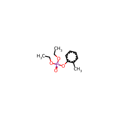 CCOP(=O)(OCC)Oc1ccccc1C